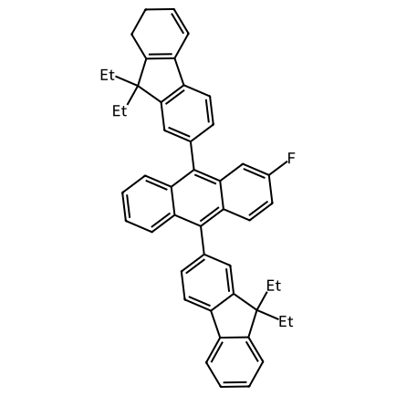 CCC1(CC)C2=C(C=CCC2)c2ccc(-c3c4ccccc4c(-c4ccc5c(c4)C(CC)(CC)c4ccccc4-5)c4ccc(F)cc34)cc21